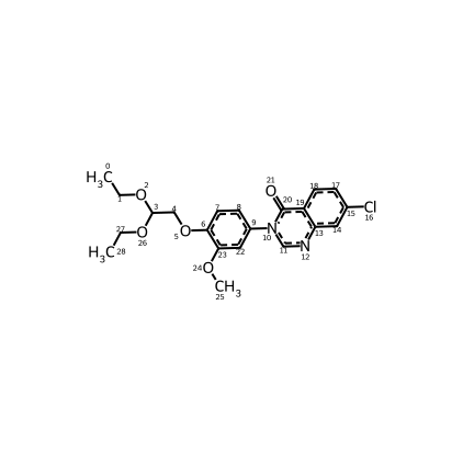 CCOC(COc1ccc(-n2cnc3cc(Cl)ccc3c2=O)cc1OC)OCC